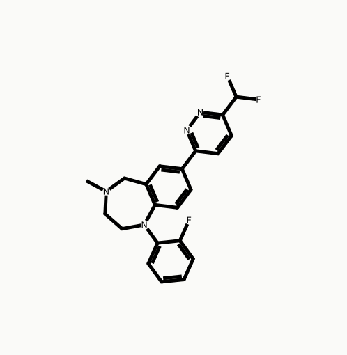 CN1CCN(c2ccccc2F)c2ccc(-c3ccc(C(F)F)nn3)cc2C1